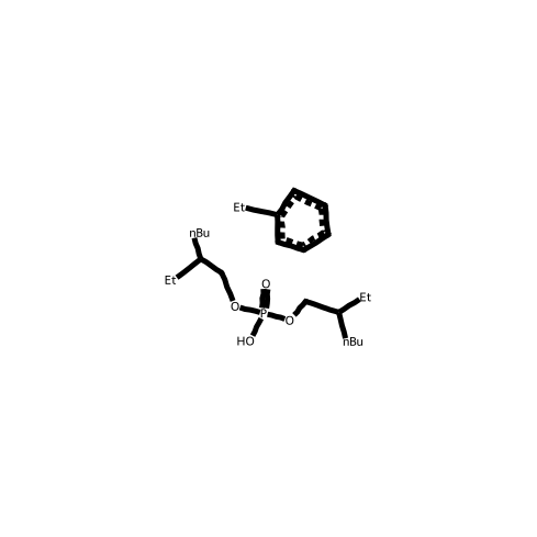 CCCCC(CC)COP(=O)(O)OCC(CC)CCCC.CCc1ccccc1